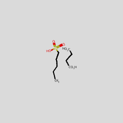 CCCCCS(=O)(=O)O.O=C(O)CCC(=O)O